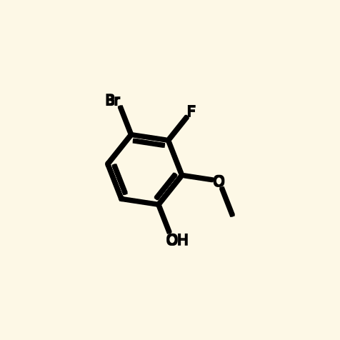 COc1c(O)ccc(Br)c1F